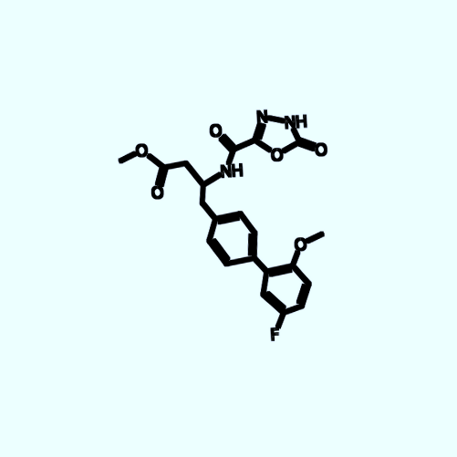 COC(=O)CC(Cc1ccc(-c2cc(F)ccc2OC)cc1)NC(=O)c1n[nH]c(=O)o1